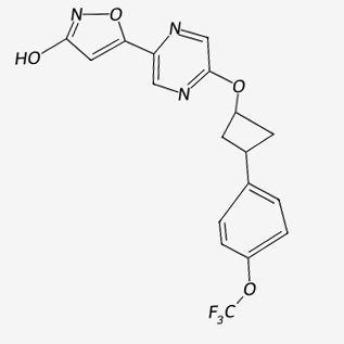 Oc1cc(-c2cnc(OC3CC(c4ccc(OC(F)(F)F)cc4)C3)cn2)on1